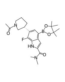 CC(=O)N1CCC[C@H](c2cc(B3OC(C)(C)C(C)(C)O3)c3cc(C(=O)N(C)C)[nH]c3c2F)C1